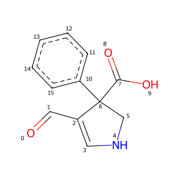 O=CC1=CNCC1(C(=O)O)c1ccccc1